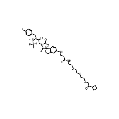 C[C@H](N(Cc1ccc(F)cc1)C(=O)CN1C(=O)O[C@@]2(CCc3cc(NCCC(=O)NCCOCCOCCOCC(=O)C4CCC4)ccc32)C1=O)C(F)(F)F